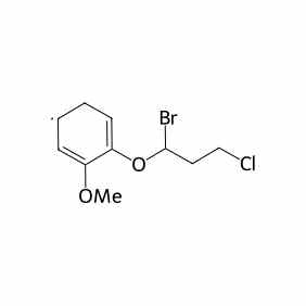 COC1=C[CH]CC=C1OC(Br)CCCl